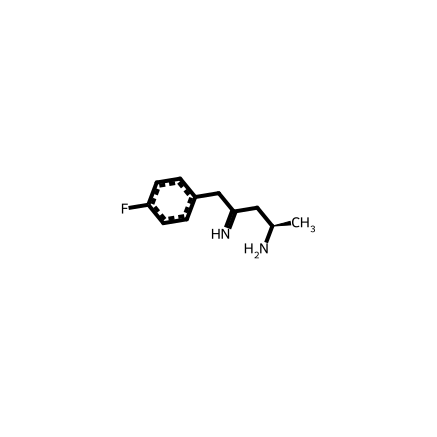 C[C@@H](N)CC(=N)Cc1ccc(F)cc1